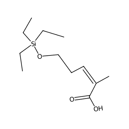 CC[Si](CC)(CC)OCCC=C(C)C(=O)O